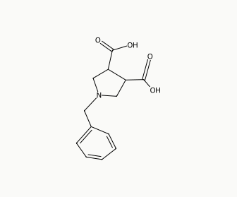 O=C(O)C1CN(Cc2ccccc2)CC1C(=O)O